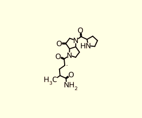 CC(C[CH]C(=O)N1CCC2C1C(=O)CN2C(=O)C1CCCN1)C(N)=O